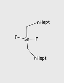 CCCCCCC[CH2][Sn]([F])([F])[CH2]CCCCCCC